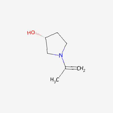 C=C(C)N1CC[C@@H](O)C1